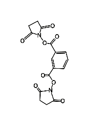 O=C(ON1C(=O)CCC1=O)c1cccc(C(=O)ON2C(=O)CCC2=O)c1